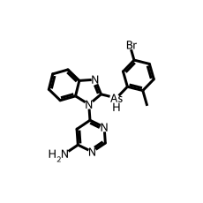 Cc1ccc(Br)cc1[AsH]c1nc2ccccc2n1-c1cc(N)ncn1